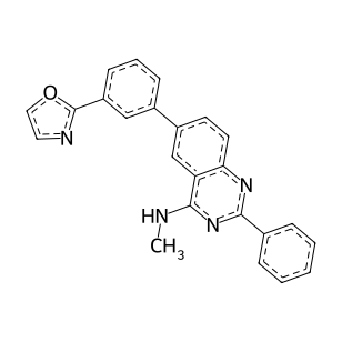 CNc1nc(-c2ccccc2)nc2ccc(-c3cccc(-c4ncco4)c3)cc12